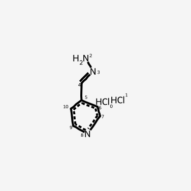 Cl.Cl.NN=Cc1ccncc1